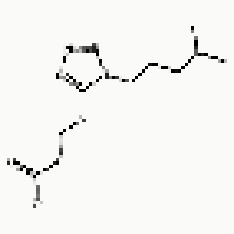 CN(C)CCCn1nnnc1SCOC([O])=O